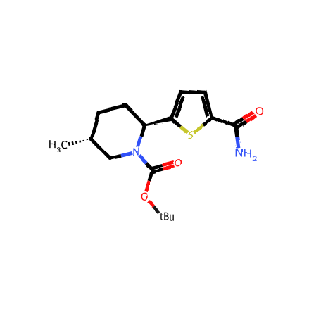 C[C@@H]1CC[C@@H](c2ccc(C(N)=O)s2)N(C(=O)OC(C)(C)C)C1